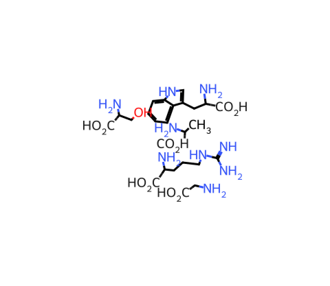 CC(N)C(=O)O.N=C(N)NCCCC(N)C(=O)O.NC(CO)C(=O)O.NC(Cc1c[nH]c2ccccc12)C(=O)O.NCC(=O)O